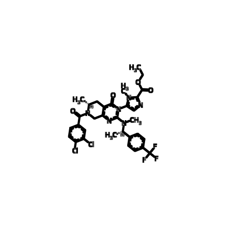 CCOC(=O)c1ncc(-n2c(N(C)[C@@H](C)c3ccc(C(F)(F)F)cc3)nc3c(c2=O)C[C@@H](C)N(C(=O)c2ccc(Cl)c(Cl)c2)C3)n1C